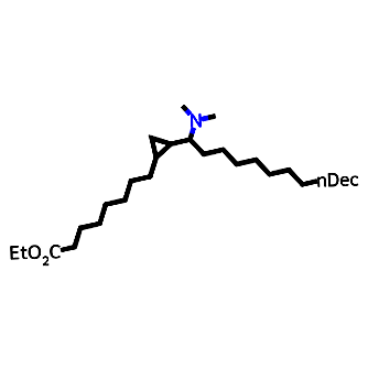 CCCCCCCCCCCCCCCCCC(C1CC1CCCCCCCC(=O)OCC)N(C)C